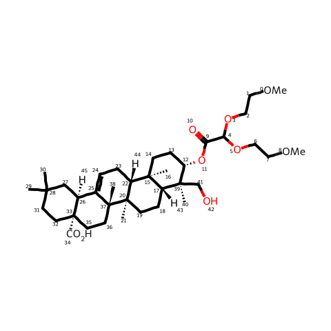 COCCOC(OCCOC)C(=O)O[C@H]1CC[C@@]2(C)[C@@H](CC[C@]3(C)[C@@H]2CC=C2[C@@H]4CC(C)(C)CC[C@]4(C(=O)O)CC[C@]23C)[C@]1(C)CO